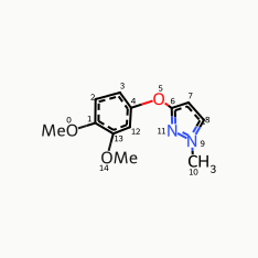 COc1ccc(Oc2c[c]n(C)n2)cc1OC